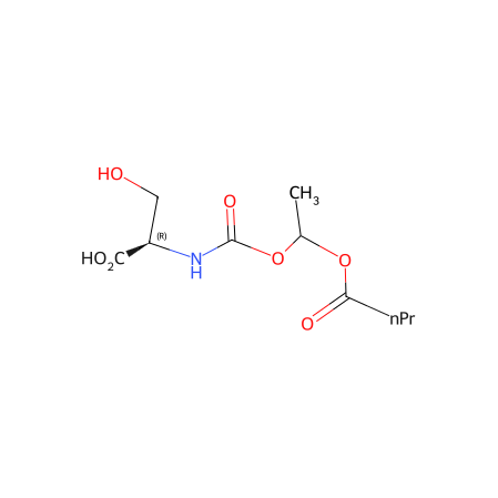 CCCC(=O)OC(C)OC(=O)N[C@H](CO)C(=O)O